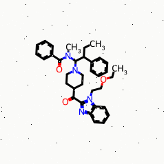 CCOCCn1c(C(=O)C2CCN(C(C(CC)c3ccccc3)N(C)C(=O)c3ccccc3)CC2)nc2ccccc21